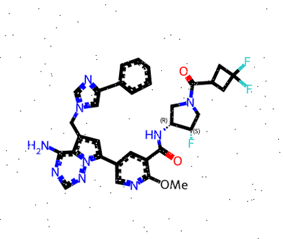 COc1ncc(-c2cc(Cn3cnc(-c4ccccc4)c3)c3c(N)ncnn23)cc1C(=O)N[C@@H]1CN(C(=O)C2CC(F)(F)C2)C[C@@H]1F